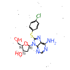 Nc1ncnc2c1nc(Sc1ccc(Cl)cc1)n2[C@H]1C[C@H](O)[C@@H](CO)O1